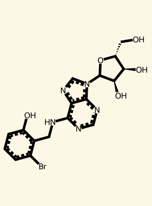 OC[C@H]1OC(n2cnc3c(NCc4c(O)cccc4Br)ncnc32)[C@H](O)[C@@H]1O